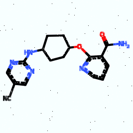 N#Cc1cnc(NC2CCC(Oc3ncccc3C(N)=O)CC2)nc1